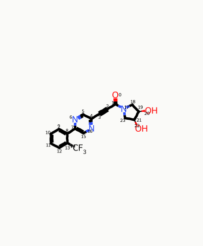 O=C(C#Cc1cnc(-c2ccccc2C(F)(F)F)cn1)N1C[C@@H](O)[C@@H](O)C1